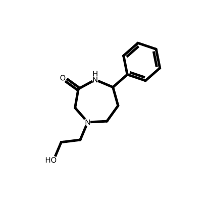 O=C1CN(CCO)CCC(c2ccccc2)N1